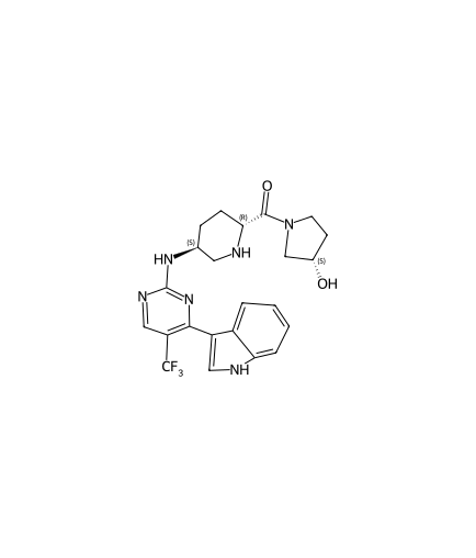 O=C([C@H]1CC[C@H](Nc2ncc(C(F)(F)F)c(-c3c[nH]c4ccccc34)n2)CN1)N1CC[C@H](O)C1